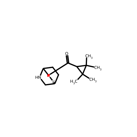 CC1(C)C(C(=O)N2CC3CCC(C2)NC3)C1(C)C